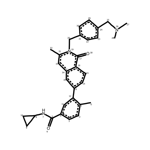 Cc1ccc(C(=O)NC2CC2)cc1-c1ccc2c(=O)n(Cc3ccc(CN(C)C)cc3)c(C)cc2c1